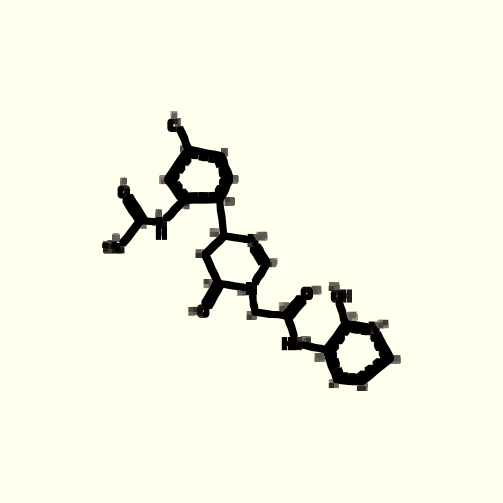 CC(C)(C)C(=O)Nc1cc(Cl)ccc1C1CC(=O)N(CC(=O)Nc2cccnc2O)C=N1